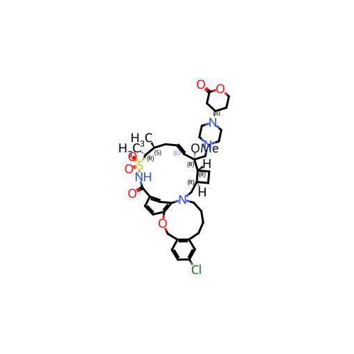 CO[C@@]1(CN2CCN([C@H]3CCOC(=O)C3)CC2)/C=C/C[C@H](C)[C@@H](C)S(=O)(=O)NC(=O)c2ccc3c(c2)N(CCCCc2cc(Cl)ccc2CO3)C[C@@H]2CC[C@H]21